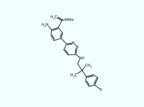 C=C(NC)c1cc(-c2ccc(NCC(C)(C)c3ccc(F)cc3)nn2)ccc1N